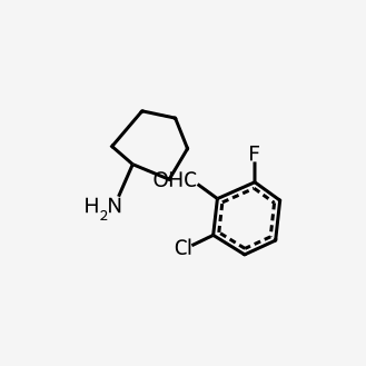 NC1CCCCC1.O=Cc1c(F)cccc1Cl